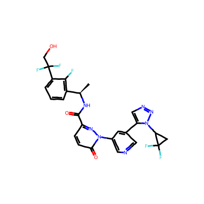 C[C@@H](NC(=O)c1ccc(=O)n(-c2cncc(-c3cnnn3C3CC3(F)F)c2)n1)c1cccc(C(F)(F)CO)c1F